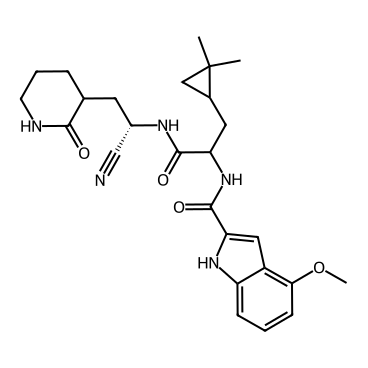 COc1cccc2[nH]c(C(=O)NC(CC3CC3(C)C)C(=O)N[C@H](C#N)CC3CCCNC3=O)cc12